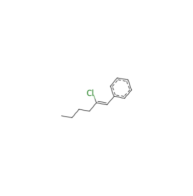 CCCCC(Cl)=Cc1ccccc1